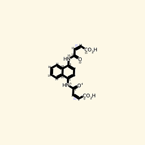 O=C(O)/C=C\C(=O)Nc1ccc(NC(=O)/C=C\C(=O)O)c2ccccc12